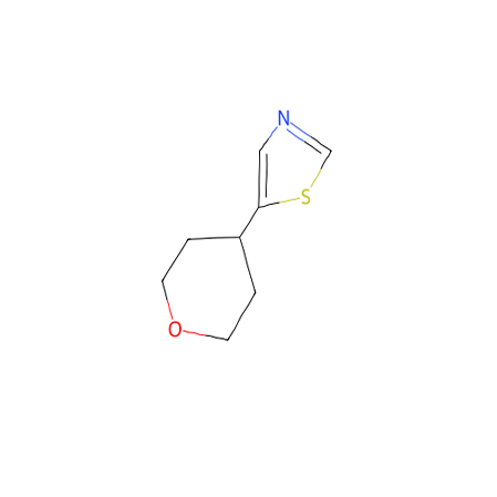 c1ncc(C2CCOCC2)s1